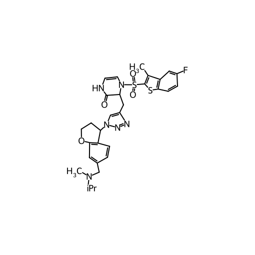 Cc1c(S(=O)(=O)N2C=CNC(=O)C2Cc2cn(C3CCOc4cc(CN(C)C(C)C)ccc43)nn2)sc2ccc(F)cc12